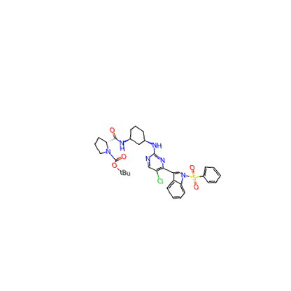 CC(C)(C)OC(=O)N1CCC[C@@H]1C(=O)N[C@H]1CCC[C@@H](Nc2ncc(Cl)c(-c3cn(S(=O)(=O)c4ccccc4)c4ccccc34)n2)C1